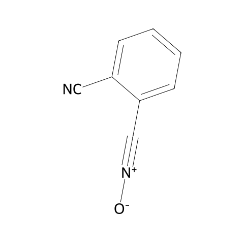 N#Cc1ccccc1C#[N+][O-]